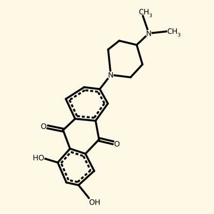 CN(C)C1CCN(c2ccc3c(c2)C(=O)c2cc(O)cc(O)c2C3=O)CC1